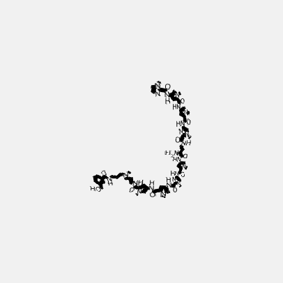 CN(CCCNC(=O)c1cccc(CO)c1)CCCNC(=O)c1cc(NC(=O)c2cc(NC(=O)c3nc(NC(=O)c4cc(NC(=O)[C@H](N)CCNC(=O)c5nc(NC(=O)c6cc(NC(=O)c7cc(NC(=O)c8nccn8C)cn7C)cn6C)cn5C)cn4C)cn3C)cn2C)cn1C